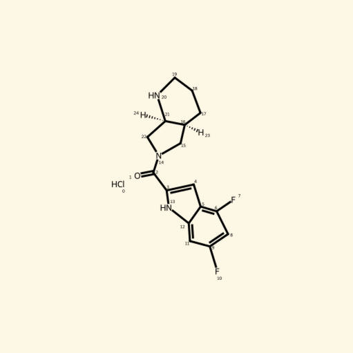 Cl.O=C(c1cc2c(F)cc(F)cc2[nH]1)N1C[C@@H]2CCCN[C@@H]2C1